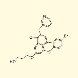 O=c1c(Cc2cccnc2)cn2c3c(cc(OCCCO)cc13)Sc1ccc(Br)cc1-2